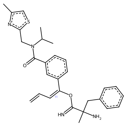 C=C/C=C(/OC(=N)C(C)(N)Cc1ccccc1)c1cccc(C(=O)N(Cc2nc(C)cs2)C(C)C)c1